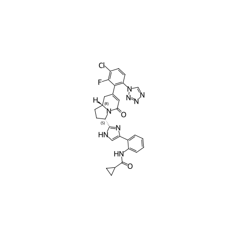 O=C(Nc1ccccc1-c1c[nH]c([C@@H]2CC[C@@H]3CC(c4c(-n5cnnn5)ccc(Cl)c4F)=CC(=O)N32)n1)C1CC1